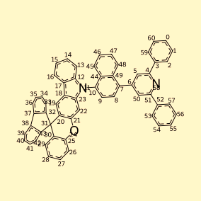 c1ccc(-c2cc(-c3ccc(-n4c5ccccc5c5cc6c(cc54)Oc4ccccc4C64c5ccccc5-c5ccccc54)c4ccccc34)cc(-c3ccccc3)n2)cc1